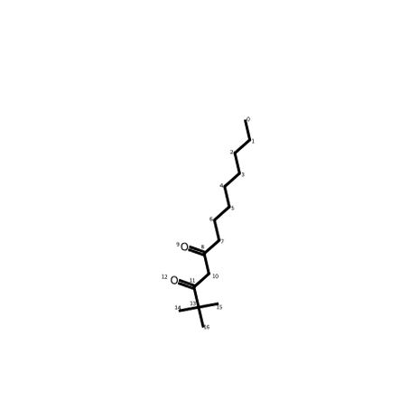 CCCCCCCCC(=O)CC(=O)C(C)(C)C